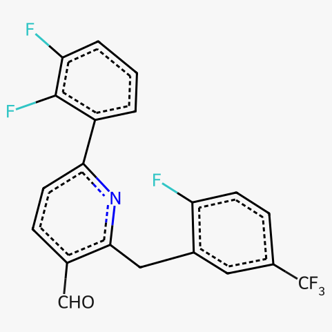 O=Cc1ccc(-c2cccc(F)c2F)nc1Cc1cc(C(F)(F)F)ccc1F